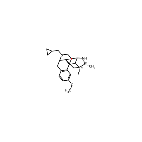 COc1ccc2c(c1)C13CCN(CC4CC4)C(C2)C12CCC1N[C@H](C)[C@@H](C2)C13